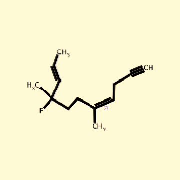 C#CC/C=C(/C)CCC(C)(F)C=CC